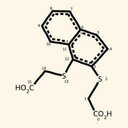 O=C(O)CSc1ccc2ccccc2c1SCC(=O)O